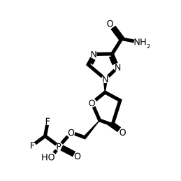 NC(=O)c1ncn([C@H]2CC(=O)[C@@H](COP(=O)(O)C(F)F)O2)n1